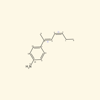 CC/C=C\C=C(/C)c1ccc(N)cc1